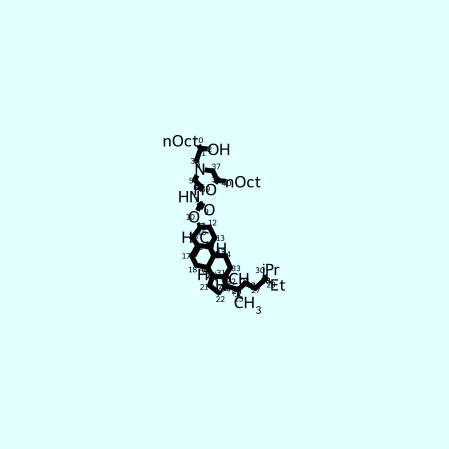 CCCCCCCCC(O)CN(CCNC(=O)O[C@H]1CC[C@@]2(C)C(=CC[C@H]3[C@@H]4CC[C@H]([C@H](C)CC[C@@H](CC)C(C)C)[C@@]4(C)CC[C@@H]32)C1)CC(O)CCCCCCCC